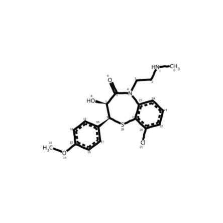 CNCCN1C(=O)[C@H](O)[C@H](c2ccc(OC)cc2)Sc2c(Cl)cccc21